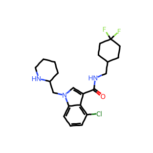 O=C(NCC1CCC(F)(F)CC1)c1cn(CC2CCCCN2)c2cccc(Cl)c12